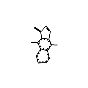 Cc1c2c(c(C)c3ccccc13)C(=O)C=C2